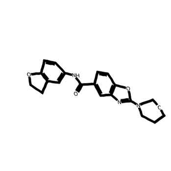 O=C(Nc1ccc2c(c1)CCO2)c1ccc2oc(N3CCCCC3)nc2c1